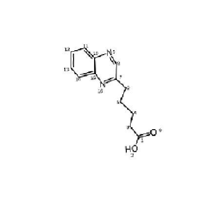 O=C(O)CCCCc1cnc2ccccc2n1